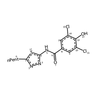 CCCCCc1nnc(NC(=O)c2cc(Cl)c(O)c(Cl)c2)s1